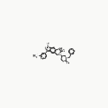 Cc1cc(-c2n[nH]c3cc4c(cc23)CN(C2CCC(=O)N(Cc3ccccc3)C2)C(=O)N4)ccn1